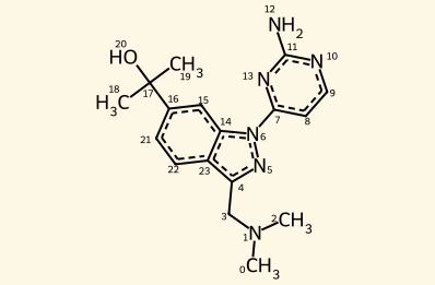 CN(C)Cc1nn(-c2ccnc(N)n2)c2cc(C(C)(C)O)ccc12